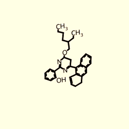 CCCCC(CC)COC1CC(c2c3c(cc4ccccc24)CCC=C3)=NC(c2ccccc2O)=N1